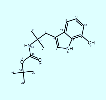 CC(C)(Cc1c[nH]c2c(O)cccc12)NC(=O)OC(C)(C)C